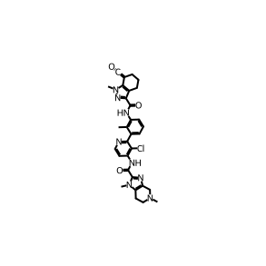 Cc1c(NC(=O)c2nn(C)c3c2CCCC3=C=O)cccc1-c1nccc(NC(=O)c2nc3c(n2C)CCN(C)C3)c1Cl